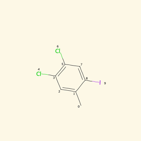 Cc1cc(Cl)c(Cl)cc1I